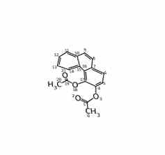 CC(=O)Oc1ccc2ccc3ccccc3c2c1OC(C)=O